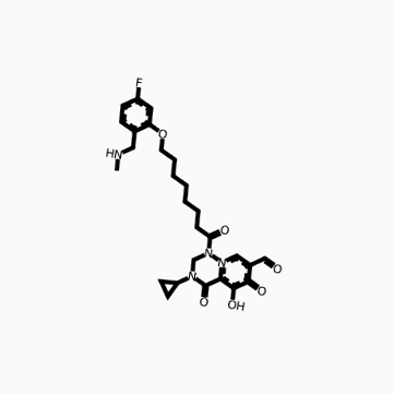 CNCc1ccc(F)cc1OCCCCCCCC(=O)N1CN(C2CC2)C(=O)c2c(O)c(=O)c(C=O)cn21